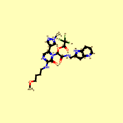 COCCCCNc1ncc(-c2cnn(C)c2)n(C(OC(=O)C(F)(F)F)C(=O)NCc2cc3ncccc3[nH]2)c1=O